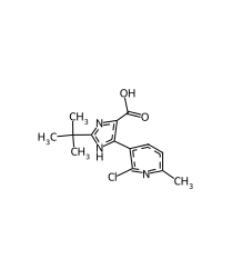 Cc1ccc(-c2[nH]c(C(C)(C)C)nc2C(=O)O)c(Cl)n1